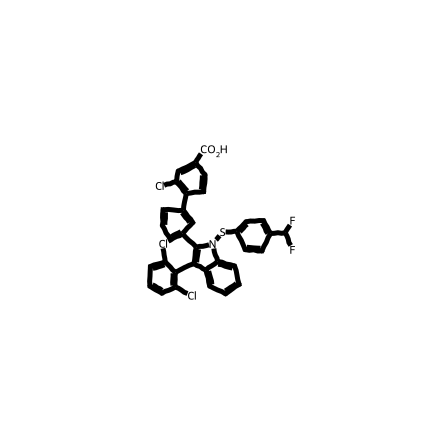 O=C(O)c1ccc(-c2cccc(-c3c(-c4c(Cl)cccc4Cl)c4ccccc4n3Sc3ccc(C(F)F)cc3)c2)c(Cl)c1